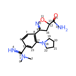 CN(C)C(=N)c1ccc(C2=NOC(C(N)=O)C2)c(N2CCCC2)c1